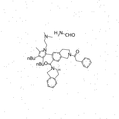 CCCCc1c(CCCC)c(-c2cc3c(cc2C(=O)N2Cc4ccccc4C[C@H]2C)CN(C(=O)Cc2ccccc2)CC3)n(CCN(C)C)c1C.NC=O